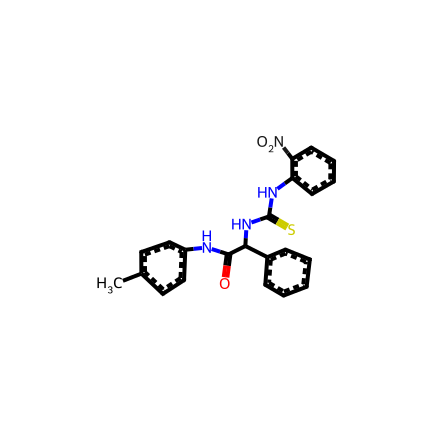 Cc1ccc(NC(=O)C(NC(=S)Nc2ccccc2[N+](=O)[O-])c2ccccc2)cc1